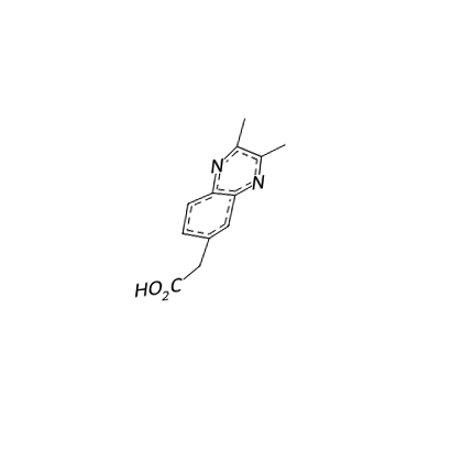 Cc1nc2ccc(CC(=O)O)cc2nc1C